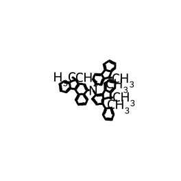 CC1(C)c2ccccc2-c2ccc(N(c3ccc(-c4ccccc4)c4c3-c3ccccc3C4(C)C)c3cc4c(c5ccccc35)-c3ccccc3C4(C)C)cc21